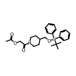 CC(=O)OCC(=O)N1CCC(CO[Si](c2ccccc2)(c2ccccc2)C(C)(C)C)CC1